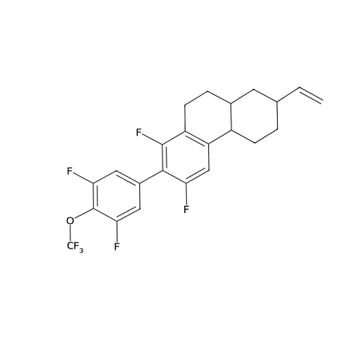 C=CC1CCC2c3cc(F)c(-c4cc(F)c(OC(F)(F)F)c(F)c4)c(F)c3CCC2C1